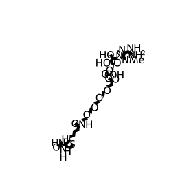 CNc1c(C(=N)N)ncn1[C@@H]1O[C@H](COP(=O)(O)OC(=O)CCOCCOCCOCCOCCNC(=O)CCCC[C@@H]2SC[C@@H]3NC(=O)N[C@@H]32)C(O)C1O